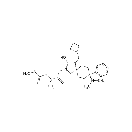 CNC(=O)CN(C)C(=O)CN1C[C@]2(CC[C@](c3ccccc3)(N(C)C)CC2)N(CC2CCC2)C1O